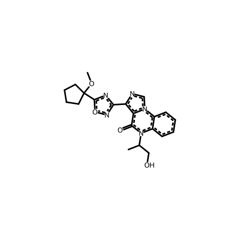 COC1(c2nc(-c3ncn4c3c(=O)n(C(C)CO)c3ccccc34)no2)CCCC1